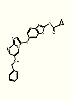 O=C(Nc1nc2ccc(Sc3cnc4ncc(NCc5ccccc5)cn34)cc2s1)C1CC1